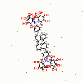 Oc1c(O)c(O)c(N(c2ccc(-c3ccc4c5cccc6c(-c7ccc(N(c8c(O)c(O)c(O)c(O)c8O)c8c(O)c(O)c(O)c(O)c8O)cc7)ccc(c7cccc3c74)c65)cc2)c2c(O)c(O)c(O)c(O)c2O)c(O)c1O